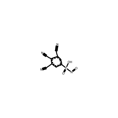 N#Cc1cc(P(=O)(O)N=O)cc(C#N)c1C#N